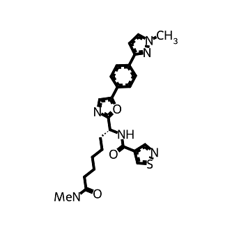 CNC(=O)CCCCC[C@@H](NC(=O)c1cnsc1)c1ncc(-c2ccc(-c3ccn(C)n3)cc2)o1